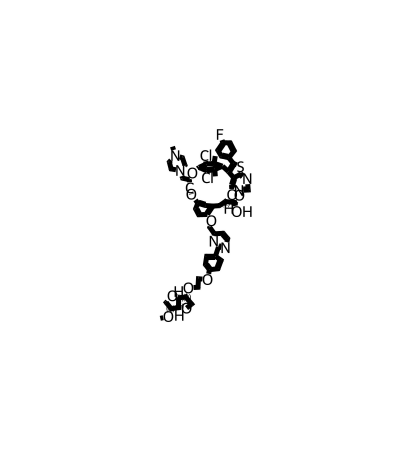 CO[C@@H]1CO[C@H]2[C@@H]1OC[C@H]2OCCOc1ccc(-c2nccc(COc3ccc4cc3C[C@H](C(=O)O)Oc3ncnc5sc(-c6ccc(F)cc6)c(c35)-c3c(C)c(Cl)c(c(Cl)c3C)OC(CN3CCN(C)CC3)CO4)n2)cc1